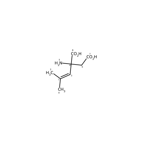 CC(C)=CC(N)(CC(=O)O)C(=O)O